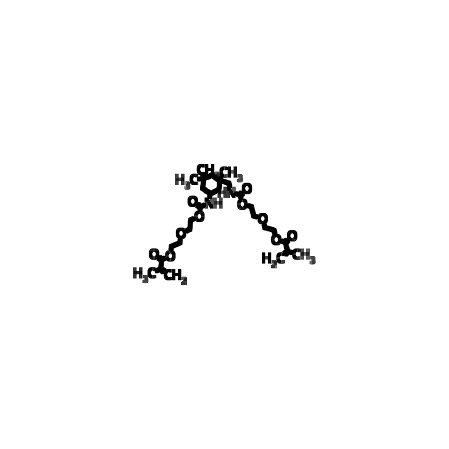 C=C(C)C(=O)OCCOCCOC(=O)NCC1(C)CC(NC(=O)OCCOCCOC(=O)C(=C)C)CC(C)(C)C1